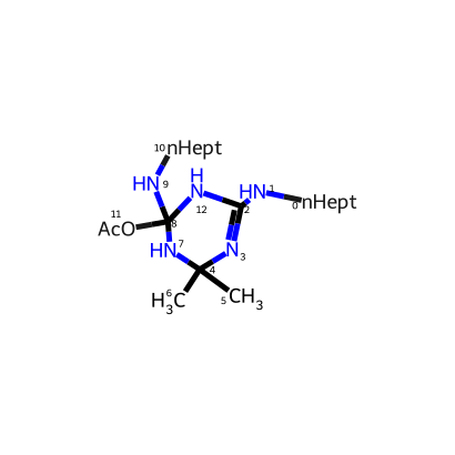 CCCCCCCNC1=NC(C)(C)NC(NCCCCCCC)(OC(C)=O)N1